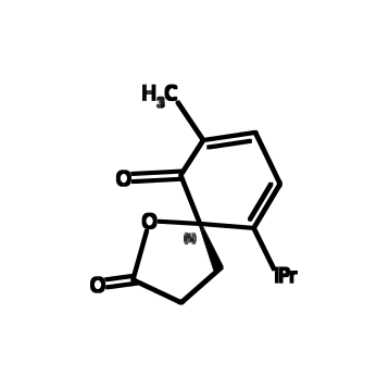 CC1=CC=C(C(C)C)[C@@]2(CCC(=O)O2)C1=O